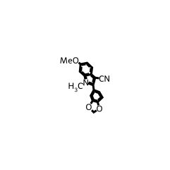 COc1ccc2c(C#N)c(-c3ccc4c(c3)OCO4)n(C)c2c1